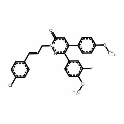 COc1ccc(-c2cc(=O)n(C/C=C/c3ccc(Cl)cc3)nc2-c2ccc(OC)c(F)c2)cc1